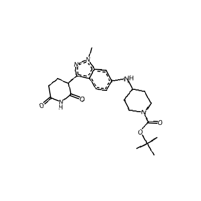 Cn1nc(C2CCC(=O)NC2=O)c2ccc(NC3CCN(C(=O)OC(C)(C)C)CC3)cc21